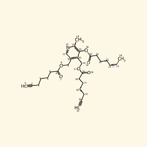 C#CCCCCC(=O)OCc1cnc(C)c(OC(=O)CCC/C=C\C)c1COC(=O)CCCCC#C